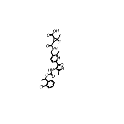 Cc1nc(-c2onc(C)c2NC(=O)OC(C)c2ccccc2Cl)ccc1CNC(=O)C1C(C(=O)O)C1(F)F